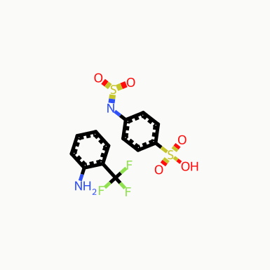 Nc1ccccc1C(F)(F)F.O=S(=O)=Nc1ccc(S(=O)(=O)O)cc1